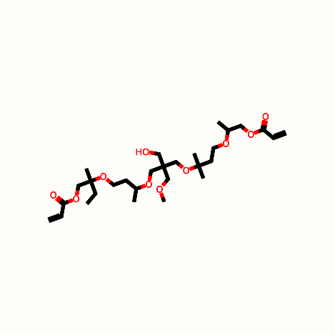 C=CC(=O)OCC(C)OCCC(C)(C)OCC(CO)(COC)COC(C)CCOC(C)(CC)COC(=O)C=C